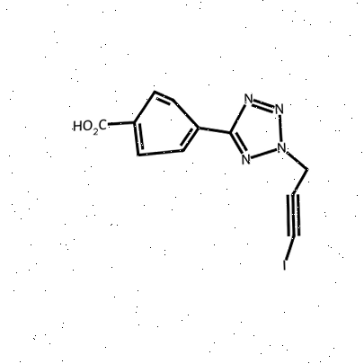 O=C(O)c1ccc(-c2nnn(CC#CI)n2)cc1